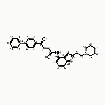 O=C(CCC(=O)c1ccc(-c2ccccc2)cc1)Nc1cccc2nn(CCN3CCCCC3)cc12